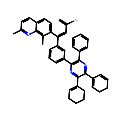 C=C(/C=C(/c1cccc(-c2nc(C3=CCCCC3)c(C3=CCCC=C3)nc2-c2ccccc2)c1)c1ccc2ccc(C)nc2c1C)C(C)C